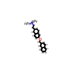 CCCN(CCC)CCC1CCc2cc(OCc3ccc4ccccc4c3)ccc2C1